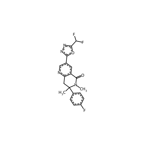 CN1C(=O)c2cc(-c3nnc(C(F)F)o3)cnc2CC1(C)c1ccc(F)cc1